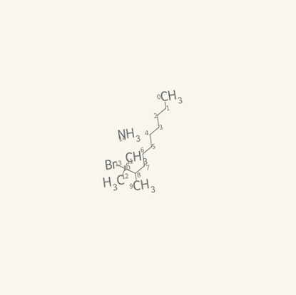 CCCCCCCCC(C)C(C)(C)Br.N